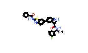 CC(NC(=O)c1c[nH]c2ccc(-c3ccc4nc(NC(=O)C5CCCC5)sc4c3)cc12)c1cccc(F)c1